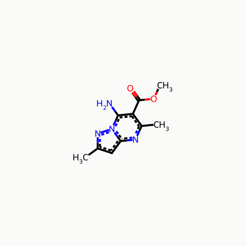 COC(=O)c1c(C)nc2cc(C)nn2c1N